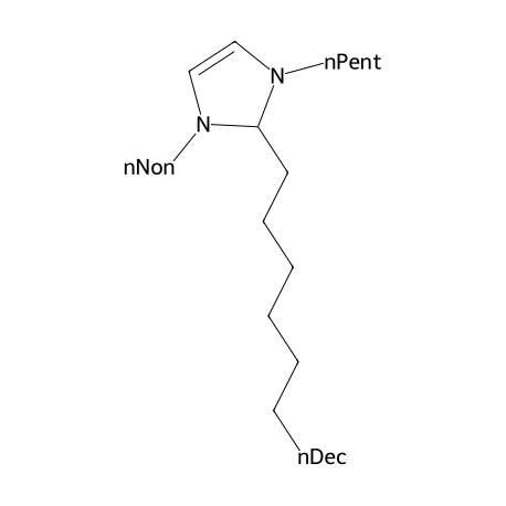 CCCCCCCCCCCCCCCCC1N(CCCCC)C=CN1CCCCCCCCC